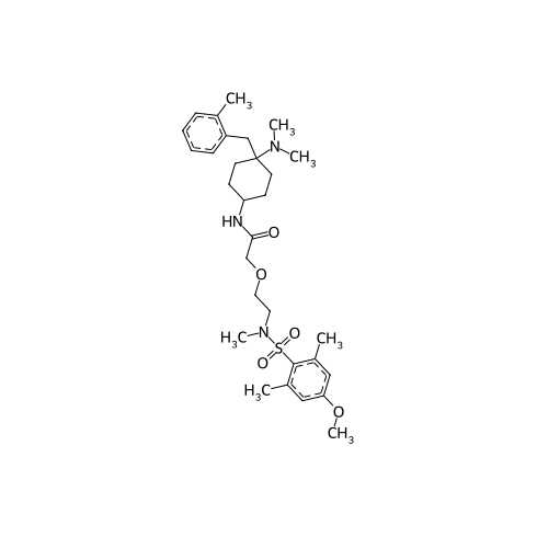 COc1cc(C)c(S(=O)(=O)N(C)CCOCC(=O)NC2CCC(Cc3ccccc3C)(N(C)C)CC2)c(C)c1